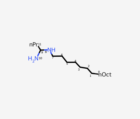 CCCCCCCCCCCCCCCNC(N)CCC